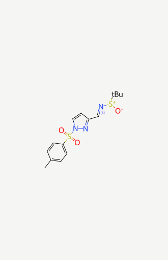 Cc1ccc(S(=O)(=O)n2ccc(/C=N/[S+]([O-])C(C)(C)C)n2)cc1